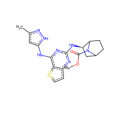 Cc1cc(Nc2nc(N[C@@H]3CC4CCC3N4C(=O)OC(C)(C)C)nc3ccsc23)[nH]n1